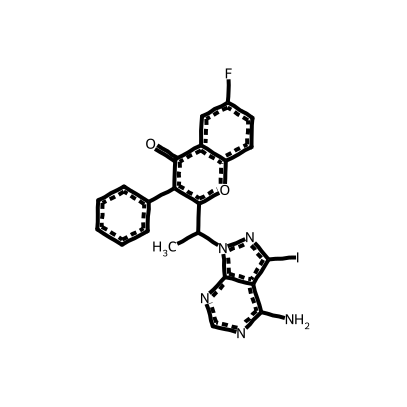 CC(c1oc2ccc(F)cc2c(=O)c1-c1ccccc1)n1nc(I)c2c(N)ncnc21